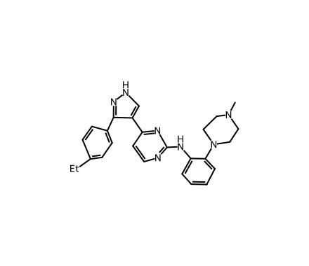 CCc1ccc(-c2n[nH]cc2-c2ccnc(Nc3ccccc3N3CCN(C)CC3)n2)cc1